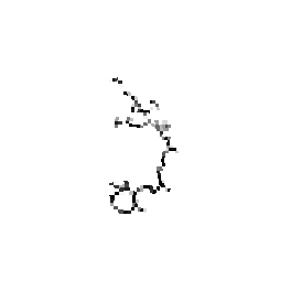 CCCCOC(=O)[C@H](CS)NC/C=C(/C)C=CC=C(C)C=CC1=C(C)CCCC1(C)C